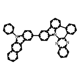 c1ccc(-n2c3ccc(-c4ccc5c(c4)c4cccc6c4n5-c4nc5ccccc5nc4-c4ccccc4-6)cc3c3cc4ccccc4cc32)cc1